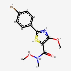 COc1nc(-c2ccc(Br)cc2)sc1C(=O)N(C)OC